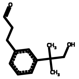 CC(C)(CO)c1cccc(CCC=O)c1